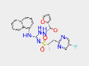 C[C@@H](Cc1ncc(F)cn1)S(=O)(=O)/N=C(\NNC(=O)c1ccco1)Nc1cccc2ccccc12